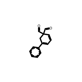 O=CC1(C=O)C=CC=C(c2ccccc2)C1